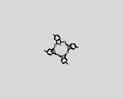 Cc1ccc2c(c1)-c1nc-2nc2[nH]c(nc3nc(nc4[nH]c(n1)c1cc(C)ccc41)-c1ccc(C)cc1-3)c1cc(C)ccc21